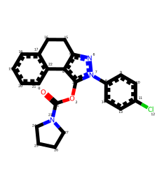 O=C(Oc1c2c(nn1-c1ccc(Cl)cc1)CCc1ccccc1-2)N1CCCC1